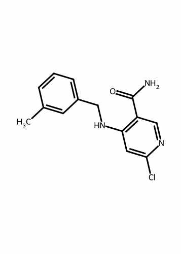 Cc1cccc(CNc2cc(Cl)ncc2C(N)=O)c1